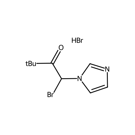 Br.CC(C)(C)C(=O)C(Br)n1ccnc1